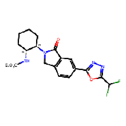 CCOC(=O)N[C@@H]1CCCC[C@H]1N1Cc2ccc(-c3nnc(C(F)F)o3)cc2C1=O